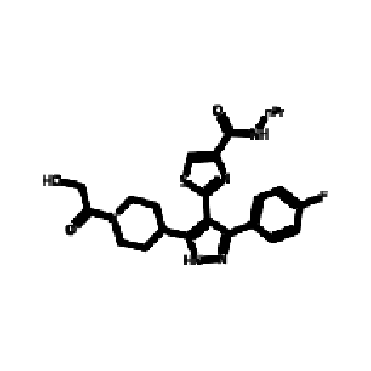 CCCNC(=O)c1csc(-c2c(-c3ccc(F)cc3)n[nH]c2C2CCN(C(=O)CO)CC2)n1